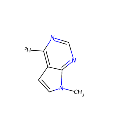 [2H]c1ncnc2c1ccn2C